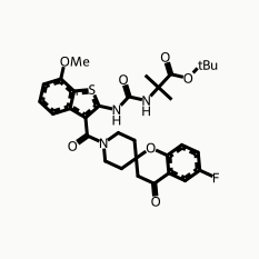 COc1cccc2c(C(=O)N3CCC4(CC3)CC(=O)c3cc(F)ccc3O4)c(NC(=O)NC(C)(C)C(=O)OC(C)(C)C)sc12